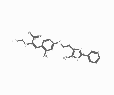 CCO/C(=C/c1ccc(OCCc2nc(-c3ccccc3)oc2C)cc1C)C(=O)O